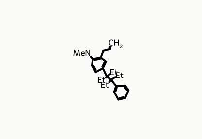 C=CCc1cc(C(CC)(CC)C(CC)(CC)c2ccccc2)ccc1NC